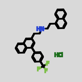 Cl.FC(F)(F)c1ccc(-c2cc(CCNCCc3cccc4ccccc34)cc3ccccc23)cc1